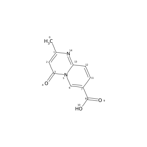 Cc1cc(=O)n2cc(C(=O)O)ccc2n1